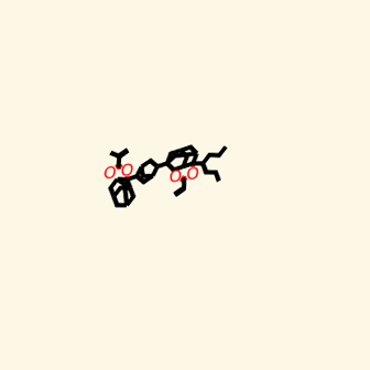 C=CC(=O)OC1(C(CCC)CCC)C2CC3CC1CC(C1CC4CC1CC4C1(OC(=O)C(=C)C)C4CC5CC(C4)CC1C5)(C3)C2